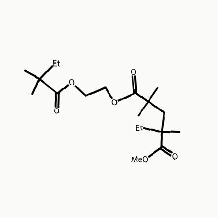 CCC(C)(C)C(=O)OCCOC(=O)C(C)(C)CC(C)(CC)C(=O)OC